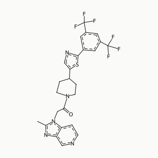 Cc1nc2cnccc2n1CC(=O)N1CCC(c2cnc(-c3cc(C(F)(F)F)cc(C(F)(F)F)c3)s2)CC1